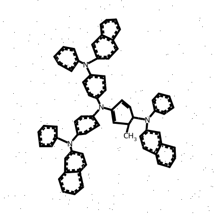 CC1C=C(N(c2ccc(N(c3ccccc3)c3ccc4ccccc4c3)cc2)c2ccc(N(c3ccccc3)c3ccc4ccccc4c3)cc2)C=CC1N(c1ccccc1)c1ccc2ccccc2c1